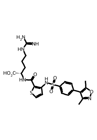 Cc1noc(C)c1-c1ccc(S(=O)(=O)Nc2ccsc2C(=O)N[C@@H](CCCNC(=N)N)C(=O)O)cc1